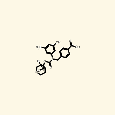 Cc1cc(O)cc(N(Cc2ccc(C(=O)O)cc2)C(=O)O[C@H]2CN3CCC2CC3)c1